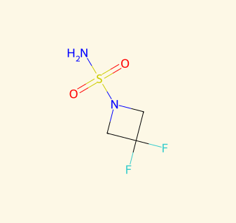 NS(=O)(=O)N1CC(F)(F)C1